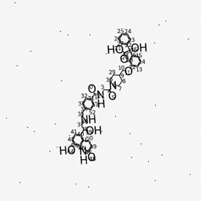 O=C(NCC(=O)N1CCC(COc2cccc(C(O)(C(=O)O)c3ccccc3)c2)CC1)c1ccc(CNCC(O)c2ccc(O)c3[nH]c(=O)ccc23)cc1